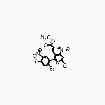 COC(=O)C=Cc1c([N+](=O)[O-])cc(Cl)nc1-c1cc([N+](=O)[O-])c(F)cc1Br